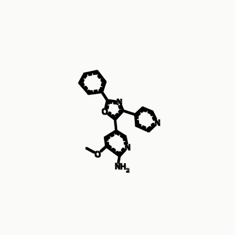 COc1cc(-c2oc(-c3ccccc3)nc2-c2ccncc2)cnc1N